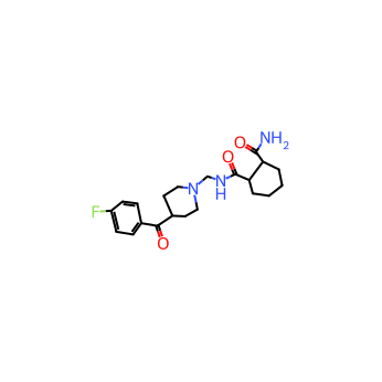 NC(=O)C1CCCCC1C(=O)NCN1CCC(C(=O)c2ccc(F)cc2)CC1